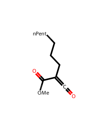 CCCCCCCCC(=C=O)C(=O)OC